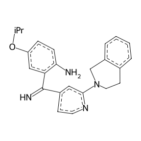 CC(C)Oc1ccc(N)c(C(=N)c2ccnc(N3CCc4ccccc4C3)c2)c1